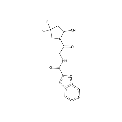 N#CC1CC(F)(F)CN1C(=O)CNC(=O)c1cc2ccncc2o1